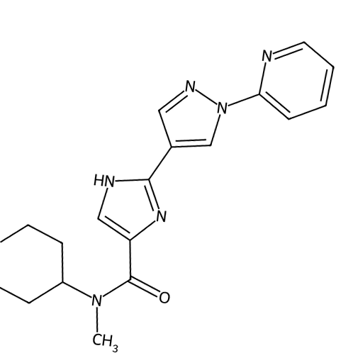 CN(C(=O)c1c[nH]c(-c2cnn(-c3ccccn3)c2)n1)C1CCNCC1